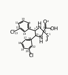 CSC1(C(=O)O)NC(c2cccc(Cl)c2)C(c2cccc(Cl)c2)N1